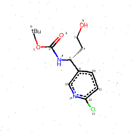 CC(C)(C)OC(=O)N[C@H](CCO)c1ccc(Cl)nc1